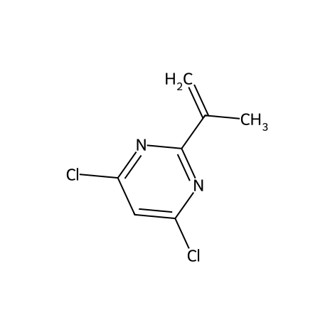 C=C(C)c1nc(Cl)cc(Cl)n1